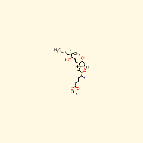 CCCCC(C)(F)[C@H](O)/C=C/[C@@H]1[C@H]2C(F)[C@H](C(I)CCCC(=O)OC)O[C@@H]2C[C@H]1O